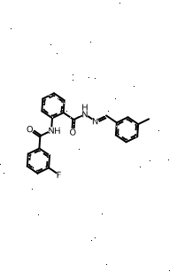 Cc1cccc(/C=N/NC(=O)c2ccccc2NC(=O)c2cccc(F)c2)c1